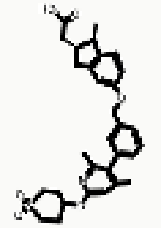 Cc1cc(OC2CCS(=O)(=O)CC2)nc(C)c1-c1cccc(COc2ccc3c(c2)C[C@@H](CC(=O)O)[C@H]3C)c1